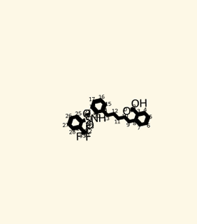 O=C(O)c1ccccc1CCCCCc1ccccc1NS(=O)(=O)c1ccccc1C(F)(F)F